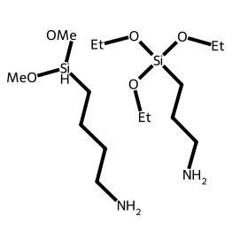 CCO[Si](CCCN)(OCC)OCC.CO[SiH](CCCCN)OC